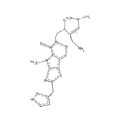 CCC(Cn1ncc2c3sc(Cc4cc[nH]n4)nc3n(C)c2c1=O)/C(=C\N(C)N)CN